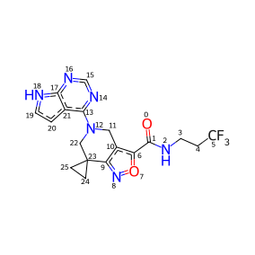 O=C(NCCC(F)(F)F)c1onc2c1CN(c1ncnc3[nH]ccc13)CC21CC1